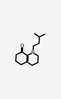 CC(C)CCN1CCCC2=C1C(=O)CCC2